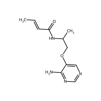 CC=CC(=O)NC(C)COc1cncnc1N